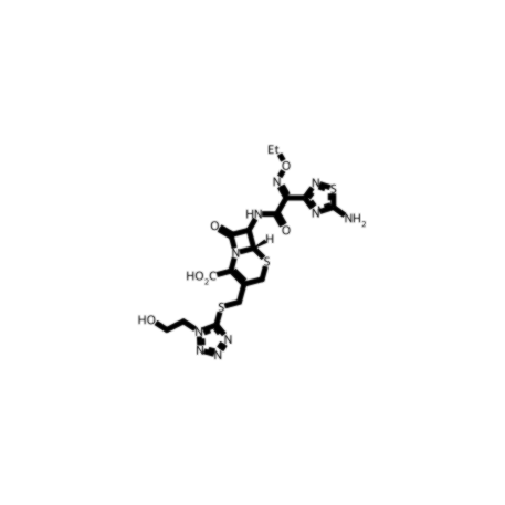 CCON=C(C(=O)NC1C(=O)N2C(C(=O)O)=C(CSc3nnnn3CCO)CS[C@@H]12)c1nsc(N)n1